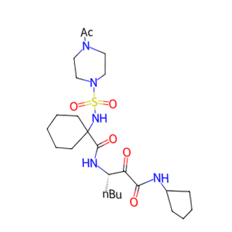 CCCC[C@H](NC(=O)C1(NS(=O)(=O)N2CCN(C(C)=O)CC2)CCCCC1)C(=O)C(=O)NC1CCCC1